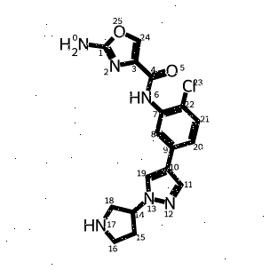 Nc1nc(C(=O)Nc2cc(-c3cnn(C4CCNC4)c3)ccc2Cl)co1